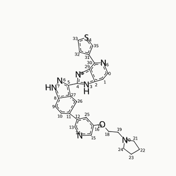 c1cc2[nH]c(-c3n[nH]c4ccc(-c5cncc(OCCN6CCCC6)c5)cc34)nc2c(-c2ccsc2)n1